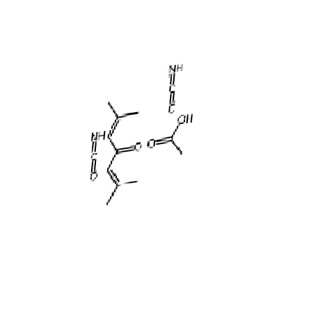 CC(=O)O.CC(C)=CC(=O)C=C(C)C.N=C=O.N=C=O